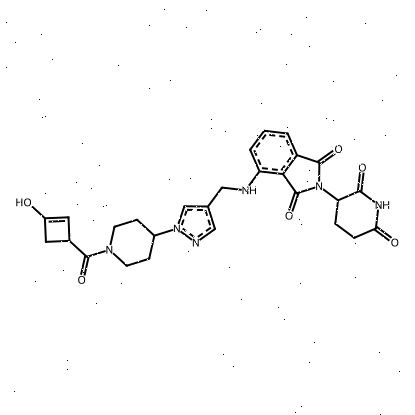 O=C1CCC(N2C(=O)c3cccc(NCc4cnn(C5CCN(C(=O)C6C=C(O)C6)CC5)c4)c3C2=O)C(=O)N1